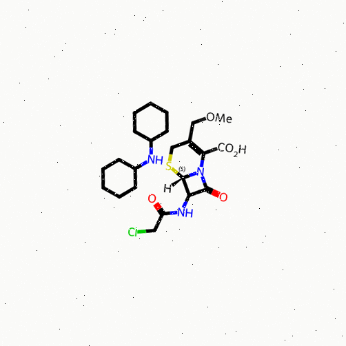 C1CCC(NC2CCCCC2)CC1.COCC1=C(C(=O)O)N2C(=O)C(NC(=O)CCl)[C@@H]2SC1